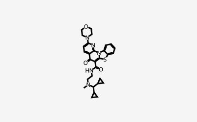 CN(CCNC(=O)c1c(=O)c2ccc(N3CCOCC3)nc2n2c1sc1ccccc12)C(C1CC1)C1CC1